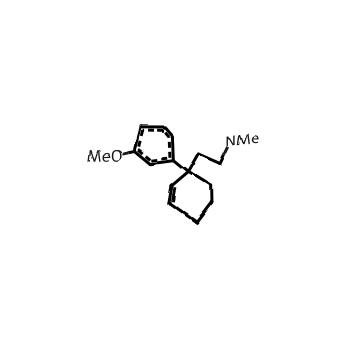 CNCCC1(c2cccc(OC)c2)C=CCCC1